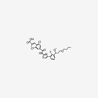 CCCCOCCC(OC)c1cccc(-c2csc(NC(=O)c3cc(Cl)c(/C=C(\C)C(=O)O)c(Cl)c3)n2)c1F